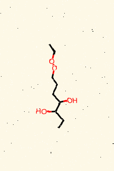 CCOOCCCC(O)C(O)CC